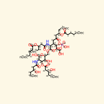 CCCCCCCCCCCCCC(=O)O[C@H](CCCCCCCCCCC)CC(=O)CC1[C@H](OP(=O)(O)O)C(CO)O[C@@H](OCC2O[C@H](O)C(NC(=O)C[C@H](O)CCCCCCCCCCC)[C@@H](OC(=O)C[C@H](O)CCCCCCCCCCC)[C@@H]2O)[C@H]1NC(=O)C[C@@H](CCCCCCCCCCC)OC(=O)CCCCCCCCCCCCC